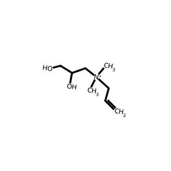 C=CC[N+](C)(C)CC(O)CO